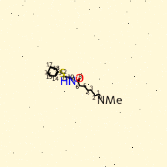 CNCCCCCCC(=O)NCCSc1ccccc1